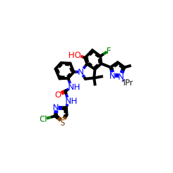 Cc1cc(-c2c(F)cc(O)c3c2C(C)(C)CN3c2ccccc2NC(=O)Nc2csc(Cl)n2)nn1C(C)C